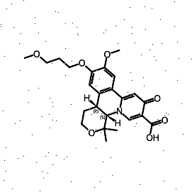 COCCCOc1cc2c(cc1OC)-c1cc(=O)c(C(=O)O)cn1[C@H]1[C@@H]2CCOC1(C)C